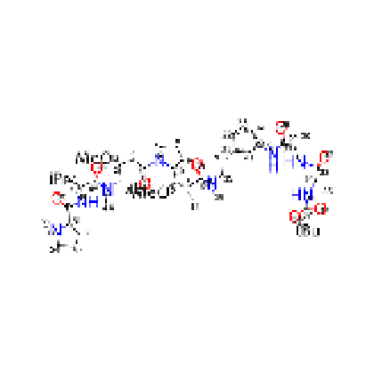 CC[C@H](C)[C@@H]([C@@H](CC(=O)N1CCC[C@H]1[C@H](OC)[C@@H](C)C(=O)N(C)CCc1cccc(NC(=O)[C@H](C)NC(=O)[C@H](C)NC(=O)OC(C)(C)C)c1)OC)N(C)C(=O)[C@@H](NC(=O)[C@H]1CCCN1C)C(C)C